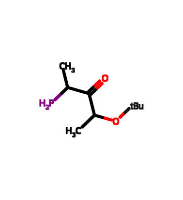 CC(P)C(=O)C(C)OC(C)(C)C